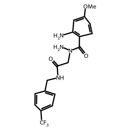 COc1ccc(C(=O)N(N)CC(=O)NCc2ccc(C(F)(F)F)cc2)c(N)c1